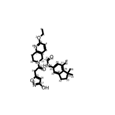 CCOc1ccc2c(n1)CCN(C(=O)Cc1cc(O)no1)[C@H]2C(=O)Nc1cc(F)c2c(c1)CCC2(C)C